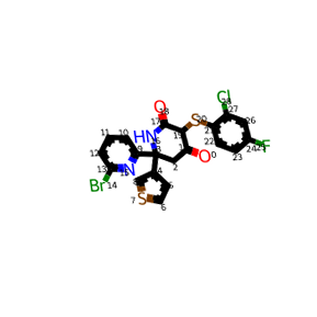 O=C1CC(c2ccsc2)(c2cccc(Br)n2)NC(=O)C1Sc1ccc(F)cc1Cl